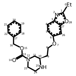 CCc1nc2ccc(OCC[C@@H]3CN(C(=O)OCc4ccccc4)CCN3)cc2o1